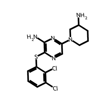 Nc1nc(N2CCCC(N)C2)cnc1Sc1cccc(Cl)c1Cl